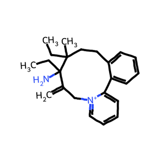 C=C1C[n+]2ccccc2-c2ccccc2CCC(C)(CC)C1(N)CC